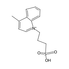 Cc1cc[n+](CCCS(=O)(=O)O)c2ccccc12